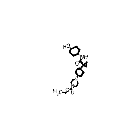 CCOC(=O)N1CCN(c2ccc(C3(C(=O)N[C@H]4CC[C@H](O)CC4)CC3)cc2)CC1